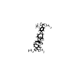 CC(C)c1ccc(N2CCN(C(=O)CN3CCC(C(C)C)C(F)C3)CC2)cc1